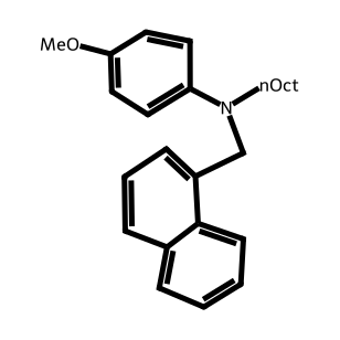 CCCCCCCCN(Cc1cccc2ccccc12)c1ccc(OC)cc1